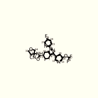 N#CC1(NC(=O)[C@@H]2CCc3c(-c4cncc(OC(F)F)c4)nn(-c4ccc(F)cn4)c3C2)CCOC1